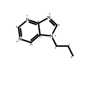 CCCn1cnc2ncncc21